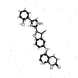 CC1c2cc(Oc3ccnc4c3CCC(=O)N4)ccc2OC1c1nc(-c2ccccc2Cl)c[nH]1